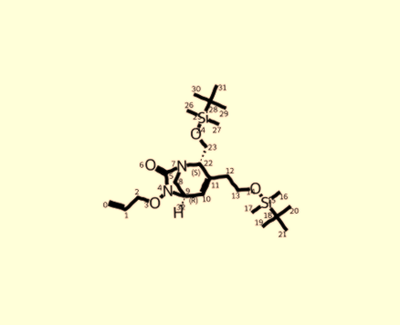 C=CCON1C(=O)N2C[C@H]1C=C(CCO[Si](C)(C)C(C)(C)C)[C@H]2CO[Si](C)(C)C(C)(C)C